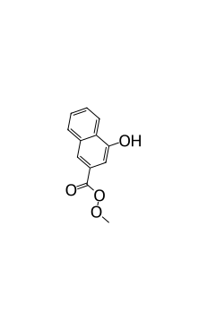 COOC(=O)c1cc(O)c2ccccc2c1